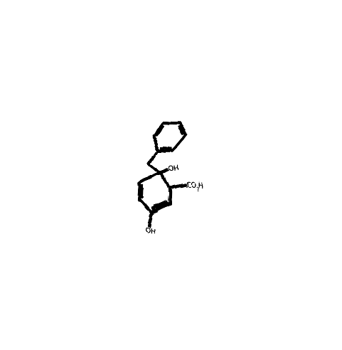 O=C(O)C1C=C(O)C=CC1(O)Cc1ccccc1